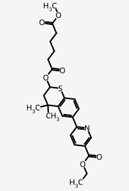 CCOC(=O)c1ccc(-c2ccc3c(c2)C(C)(C)CC(OC(=O)CCCCC(=O)OC)S3)nc1